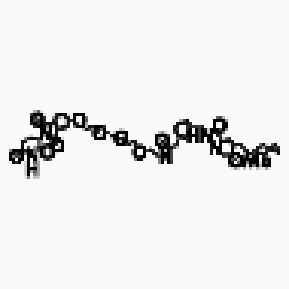 COc1cnc(C(=O)NCc2cccc(CC(=O)N(C)CCOCCOCCOCCOc3ccc4c(c3)C(=O)N(C3CCC(=O)NC3=O)C4=O)c2)cc1/C=C/C1CC2(CC2)C1